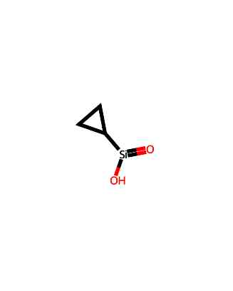 O=[Si](O)C1CC1